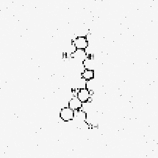 Cc1ncc(Cl)cc1NCc1ccc(C(=O)N[C@@H](CC2CCCCC2)C(=O)NCCO)s1